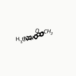 Cc1ccc2c(c1)C(=O)c1cc(N3CC4CN(C)CC4C3)ccc1-2